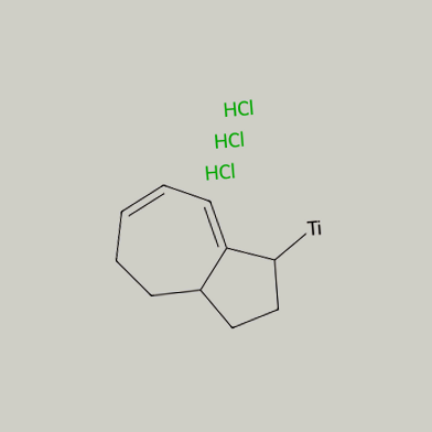 Cl.Cl.Cl.[Ti][CH]1CCC2CCC=CC=C12